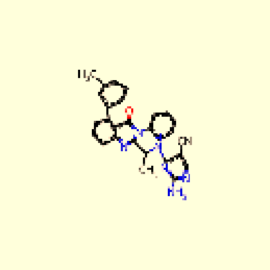 Cc1cccc(-c2cccc3nc(C(C)Nc4nc(N)ncc4C#N)n(-c4ccccc4)c(=O)c23)c1